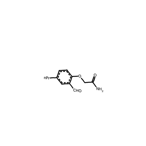 CCCc1ccc(OCC(N)=O)c(C=O)c1